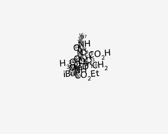 C=Cc1cc(C(=O)O)c(-c2ccc(C(=O)NCC3CC3)nc2C(=O)OC(C)OC(=O)NC(C(=O)OCC)C(C)CC)cc1OC